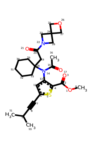 COC(=O)c1sc(C#CC(C)C)cc1N(C(C)=O)C1(CC(=O)N2CC3(COC3)C2)CCCCC1